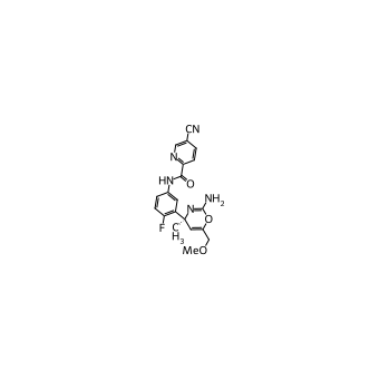 COCC1=C[C@@](C)(c2cc(NC(=O)c3ccc(C#N)cn3)ccc2F)N=C(N)O1